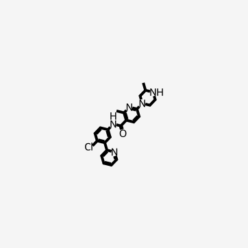 Cc1nc(N2CCNC(C)C2)ccc1C(=O)Nc1ccc(Cl)c(-c2ccccn2)c1